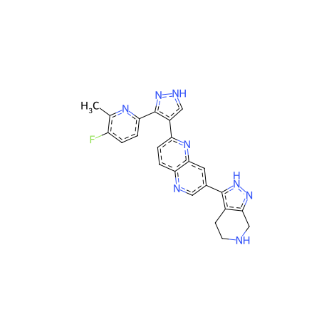 Cc1nc(-c2n[nH]cc2-c2ccc3ncc(-c4[nH]nc5c4CCNC5)cc3n2)ccc1F